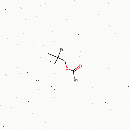 CCC(C)(C)COC(=O)C(C)C